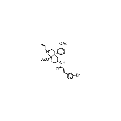 C=CCN1CC[C@@]2(c3cccc(OC(C)=O)c3)C[C@@H](NC(=O)/C=C/c3cc(Br)cs3)CC[C@]2(OC(C)=O)C1